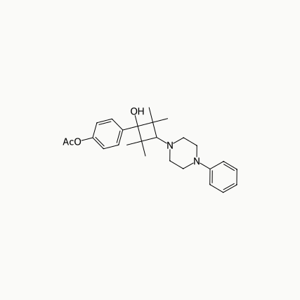 CC(=O)Oc1ccc(C2(O)C(C)(C)C(N3CCN(c4ccccc4)CC3)C2(C)C)cc1